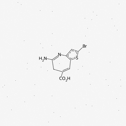 NC1=Nc2cc(Br)sc2C=C(C(=O)O)C1